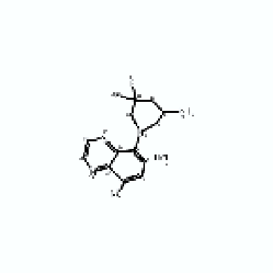 Cl.N#Cc1ccc(N2CC(N)CC(F)(F)C2)c2nccnc12